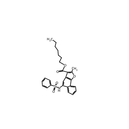 CCCCCCCOC(=O)c1c(C)oc2c1cc(NS(=O)(=O)c1ccccc1)c1ccccc12